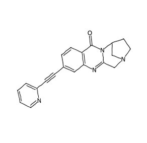 O=c1c2ccc(C#Cc3ccccn3)cc2nc2n1C1CCN(C2)C1